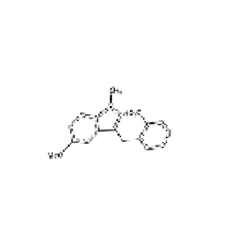 COc1ccc2c(c1)c(Cc1ccccc1C(=O)O)cn2C